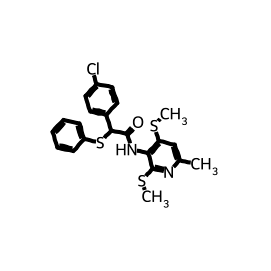 CSc1cc(C)nc(SC)c1NC(=O)C(Sc1ccccc1)c1ccc(Cl)cc1